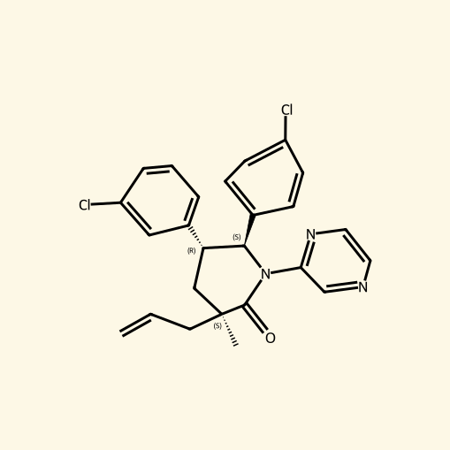 C=CC[C@@]1(C)C[C@H](c2cccc(Cl)c2)[C@@H](c2ccc(Cl)cc2)N(c2cnccn2)C1=O